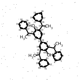 CC(c1ccccc1)c1cc(-c2cc(C(C)c3ccccc3)c(O)c(C(C)c3ccccc3)c2)cc(C(C)c2ccccc2)c1O